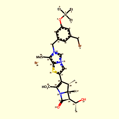 CC[Si](CC)(CC)Oc1cc(CBr)cc(Cn2c[n+]3cc(C4=C(C(=O)O)N5C(=O)[C@H]([C@@H](C)O)[C@H]5[C@H]4C)sc3c2SC)c1.[Br-]